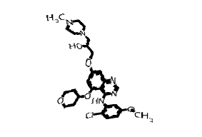 COc1ccc(Cl)c(Nc2ncnc3cc(OCC(O)CN4CCN(C)CC4)cc(OC4CCOCC4)c23)c1